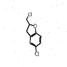 ClCC1Cc2cc(Cl)ccc2O1